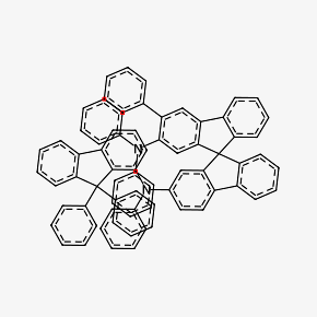 c1ccc(-c2cc3c(cc2N(c2ccccc2)c2ccccc2)C2(c4ccccc4-c4ccc(N(c5ccccc5)c5cccc6c5C(c5ccccc5)(c5ccccc5)c5ccccc5-6)cc42)c2ccccc2-3)cc1